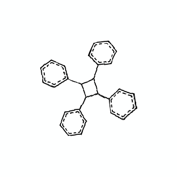 c1ccc(C2C(c3ccccc3)C(c3ccccc3)C2c2ccccc2)cc1